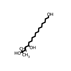 CC(C)(O)CCC(O)CCCCCCCCCCCCO